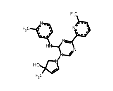 OC1(C(F)(F)F)C=CN(N2C=NC(c3cccc(C(F)(F)F)n3)=NC2Nc2ccnc(C(F)(F)F)c2)C1